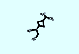 CCN(C)C1CC(C(C)C)C1